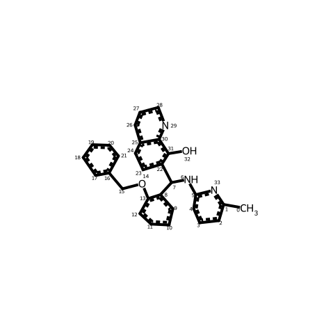 Cc1cccc(NC(c2ccccc2OCc2ccccc2)c2ccc3cccnc3c2O)n1